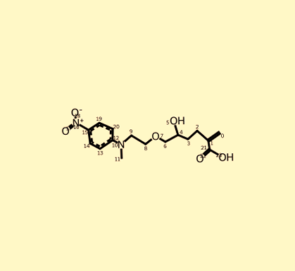 C=C(CCC(O)COCCN(C)c1ccc([N+](=O)[O-])cc1)C(=O)O